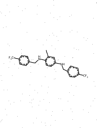 Cc1cc(NCc2ccc(C(F)(F)F)cc2)ccc1NCc1ccc(C(F)(F)F)cc1